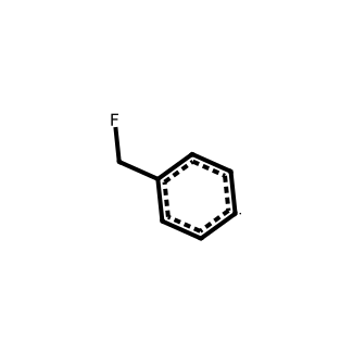 FCc1cc[c]cc1